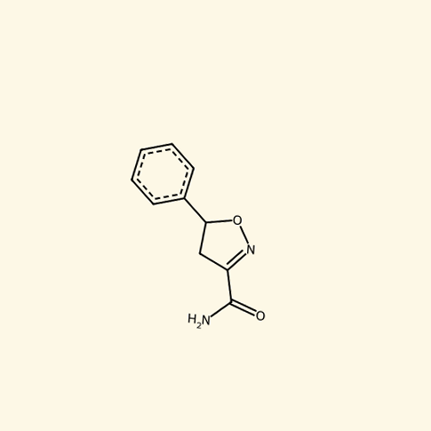 NC(=O)C1=NOC(c2ccccc2)C1